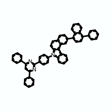 c1ccc(-c2cc(-c3ccccc3)nc(-c3ccc(-n4c5ccccc5c5c6cc(-c7ccc(-c8ccccc8)c8ccccc78)ccc6ccc54)cc3)n2)cc1